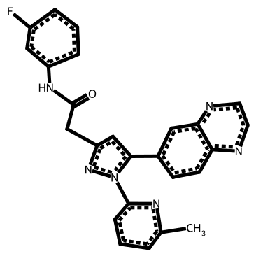 Cc1cccc(-n2nc(CC(=O)Nc3cccc(F)c3)cc2-c2ccc3nccnc3c2)n1